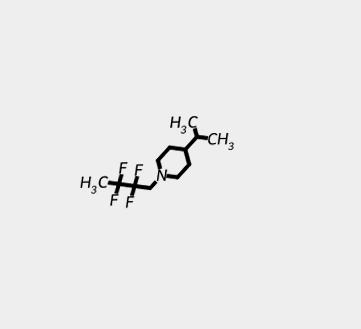 CC(C)C1CCN(CC(F)(F)C(C)(F)F)CC1